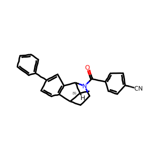 C[C@H]1C2CCN(C(=O)c3ccc(C#N)cc3)C1c1cc(-c3ccccc3)ccc12